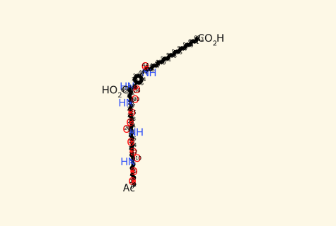 CC(=O)COCCOCCNC(=O)COCCOCCNC(=O)COCCOCCNC(=O)CC[C@H](NC(=O)[C@H]1CC[C@H](CNC(=O)CCCCCCCCCCCCCCCCCCC(=O)O)CC1)C(=O)O